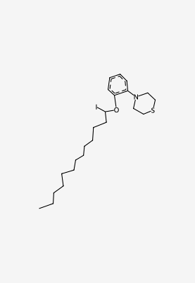 CCCCCCCCCCCCC(I)Oc1ccccc1N1CCSCC1